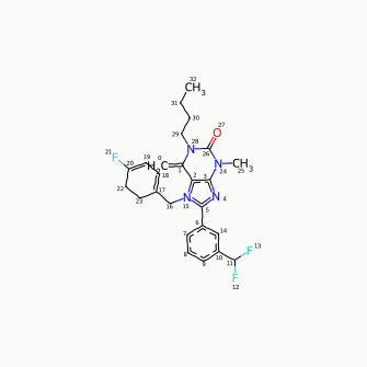 C=C1c2c(nc(-c3cccc(C(F)F)c3)n2CC2=CC=C(F)CC2)N(C)C(=O)N1CCCC